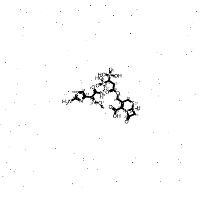 CO/N=C(\C(=O)NOP(=O)(O)C(CC(=O)OCC1=C(C(=O)O)N2C(=O)C[C@@H]2SC1)P(=O)(O)O)c1csc(N)n1